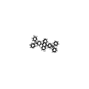 C1=CC(N(C2=CC=C(c3c4ccccc4c(-c4ccc(N(c5ccccc5)c5ccccc5)cc4)c4ccccc34)CC2)c2ccccc2)CCC1